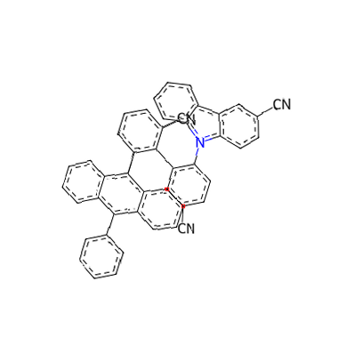 N#Cc1ccc(-n2c3ccccc3c3cc(C#N)ccc32)c(-c2c(C#N)cccc2-c2c3ccccc3c(-c3ccccc3)c3ccccc23)c1